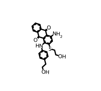 Nc1cc(SCCO)c(Nc2ccc(CCO)cc2)c2c1C(=O)c1ccccc1C2=O